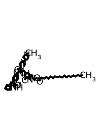 CCCCCCCCCCCCCCCCCCCC(=O)OCn1cc2cc(CC(NC(=O)N3CCC(c4cc5ccccc5[nH]c4=O)CC3)C(=O)N3CCN(C4CCN(C)CC4)CC3)cc(C)c2n1